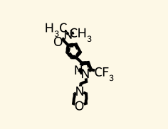 CN(C)C(=O)c1ccc(-c2cc(C(F)(F)F)n(CCN3CCOCC3)n2)cc1